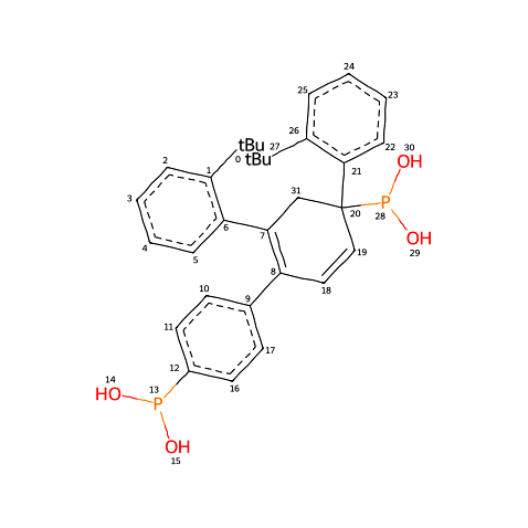 CC(C)(C)c1ccccc1C1=C(c2ccc(P(O)O)cc2)C=CC(c2ccccc2C(C)(C)C)(P(O)O)C1